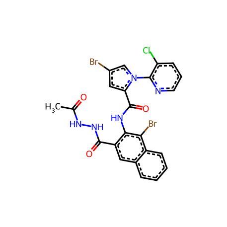 CC(=O)NNC(=O)c1cc2ccccc2c(Br)c1NC(=O)c1cc(Br)cn1-c1ncccc1Cl